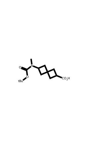 CN(C(=O)OC(C)(C)C)C1CC2(CC(C(=O)O)C2)C1